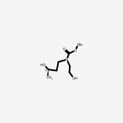 C[C@@H](O)CCN(CCO)C(=O)OC(C)(C)C